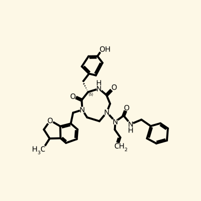 C=CCN(C(=O)NCc1ccccc1)N1CCN(Cc2cccc3c2OCC3C)C(=O)[C@H](Cc2ccc(O)cc2)NC(=O)C1